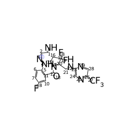 N=C/C=N\Nc1ccc(F)cc1C(=O)N1CCC(F)(F)C1CNc1cnc(C(F)(F)F)cn1